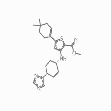 COC(=O)c1sc(C2=CCC(C)(C)CC2)cc1N[C@H]1CC[C@H](n2cncn2)CC1